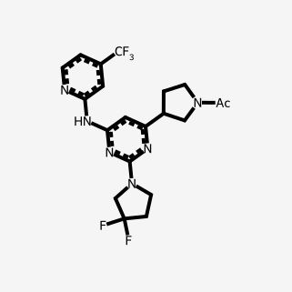 CC(=O)N1CCC(c2cc(Nc3cc(C(F)(F)F)ccn3)nc(N3CCC(F)(F)C3)n2)C1